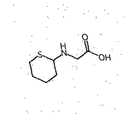 O=C(O)CNC1CCCCS1